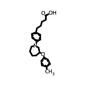 Cc1ccc(OC2CCCCN(c3ccc(CCCCC(=O)O)cc3)C2)cc1